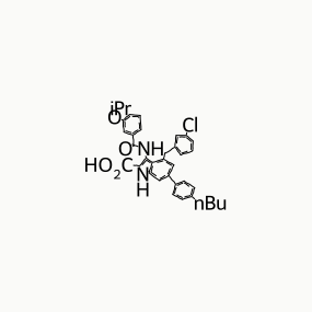 CCCCc1ccc(-c2cc(Cc3cccc(Cl)c3)c3c(NC(=O)c4cccc(OC(C)C)c4)c(C(=O)O)[nH]c3c2)cc1